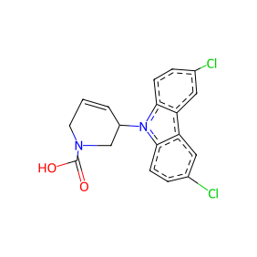 O=C(O)N1CC=CC(n2c3ccc(Cl)cc3c3cc(Cl)ccc32)C1